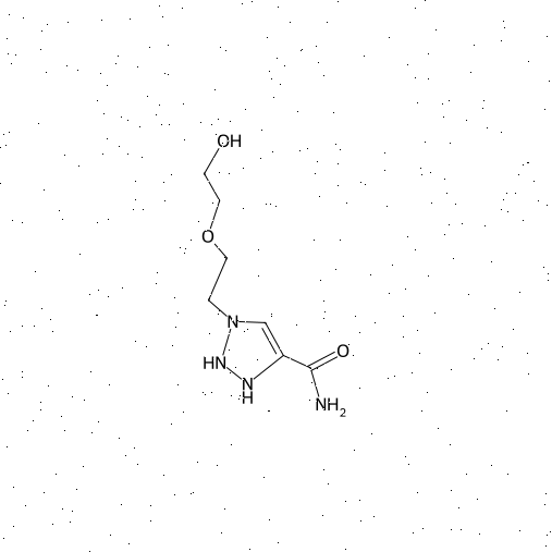 NC(=O)C1=CN(CCOCCO)NN1